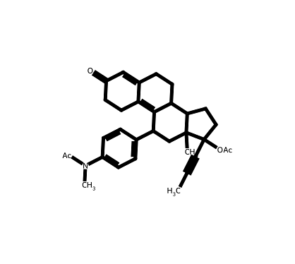 CC#CC1(OC(C)=O)CCC2C3CCC4=CC(=O)CCC4=C3C(c3ccc(N(C)C(C)=O)cc3)CC21C